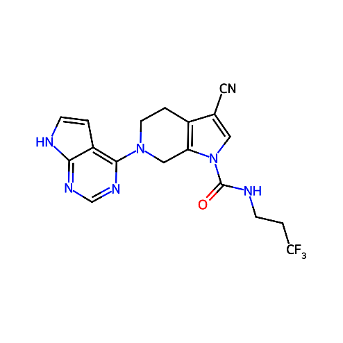 N#Cc1cn(C(=O)NCCC(F)(F)F)c2c1CCN(c1ncnc3[nH]ccc13)C2